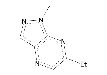 CCc1cnc2cnn(C)c2n1